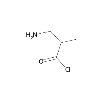 CC(CN)C(=O)Cl